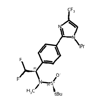 CC(C)n1cc(C(F)(F)F)nc1-c1ccc([C@H](C(F)F)N(C)[S@@+]([O-])C(C)(C)C)cc1